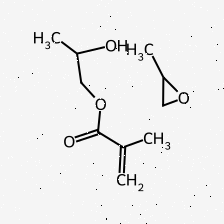 C=C(C)C(=O)OCC(C)O.CC1CO1